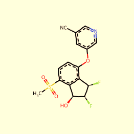 CS(=O)(=O)c1ccc(Oc2cncc(C#N)c2)c2c1[C@H](O)[C@H](F)[C@@H]2F